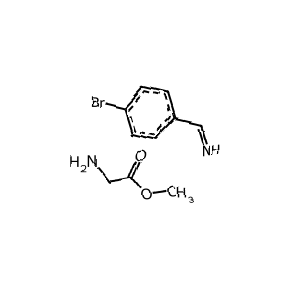 COC(=O)CN.N=Cc1ccc(Br)cc1